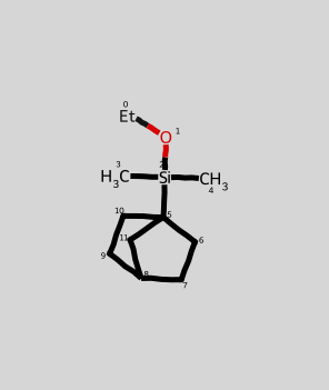 [CH2]CO[Si](C)(C)C12CCC(CC1)C2